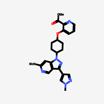 CNc1cc2c(cn1)c(-c1cnn(C)c1)nn2C1CCC(Oc2cccnc2C(=O)OC)CC1